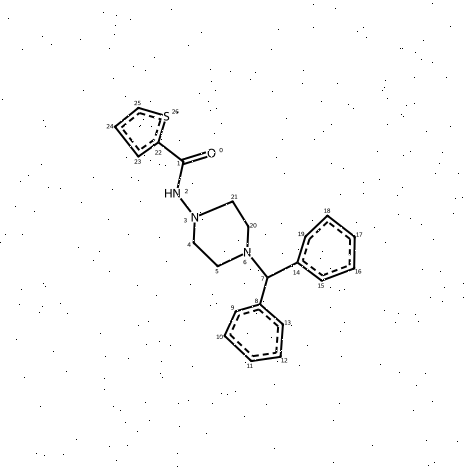 O=C(NN1CCN(C(c2ccccc2)c2ccccc2)CC1)c1cccs1